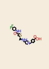 O=C(O)c1ccc(CN2CCC(CNC3C[C@H]3c3cc(C(=O)NC4CCC(F)(F)CC4)cs3)CC2)cc1